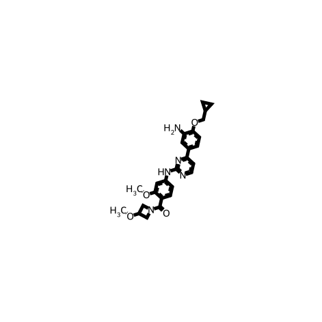 COc1cc(Nc2nccc(-c3ccc(OCC4CC4)c(N)c3)n2)ccc1C(=O)N1CC(OC)C1